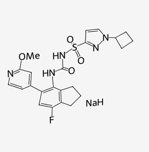 COc1cc(-c2cc(F)c3c(c2NC(=O)NS(=O)(=O)c2ccn(C4CCC4)n2)CCC3)ccn1.[NaH]